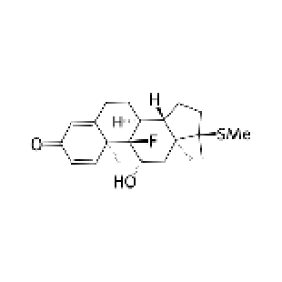 CS[C@]1(C)CC[C@H]2[C@@H]3CCC4=CC(=O)C=C[C@]4(C)[C@@]3(F)[C@@H](O)C[C@@]21C